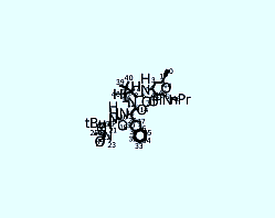 C#CCCC(NC(=O)[C@@H]1[C@@H]2[C@H](CN1C(=O)[C@@H](NC(=O)N[C@H](CN(C)S(C)(=O)=O)C(C)(C)C)C1Cc3ccccc3C1)C2(C)C)C(=O)C(=O)NCCC